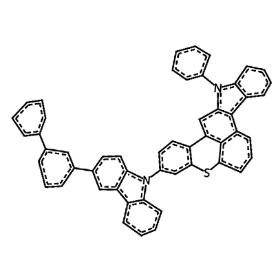 c1ccc(-c2cccc(-c3ccc4c(c3)c3ccccc3n4-c3ccc4c(c3)Sc3cccc5c3c-4cc3c5c4ccccc4n3-c3ccccc3)c2)cc1